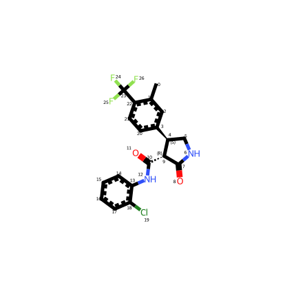 Cc1cc([C@H]2CNC(=O)[C@@H]2C(=O)Nc2ccccc2Cl)ccc1C(F)(F)F